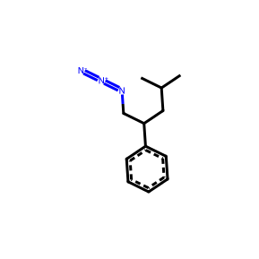 CC(C)CC(CN=[N+]=[N-])c1ccccc1